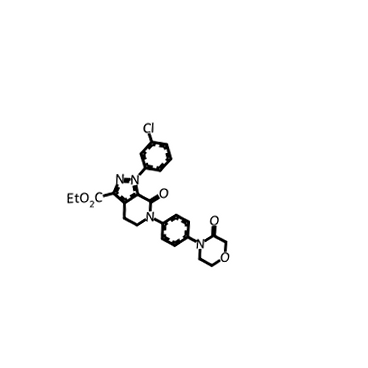 CCOC(=O)c1nn(-c2cccc(Cl)c2)c2c1CCN(c1ccc(N3CCOCC3=O)cc1)C2=O